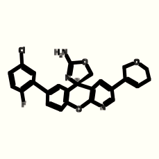 NC1=N[C@@]2(CO1)c1cc(-c3cc(Cl)ccc3F)ccc1Oc1ncc(C3=CCCOC3)cc12